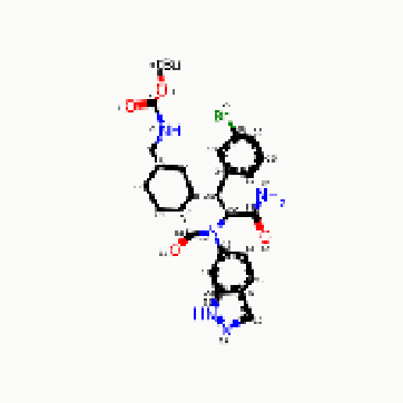 CC(C)(C)OC(=O)NC[C@H]1CC[C@H](C(=O)N(c2ccc3cn[nH]c3c2)[C@@H](Cc2cccc(Br)c2)C(N)=O)CC1